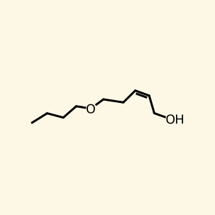 CCCCOCC/C=C\CO